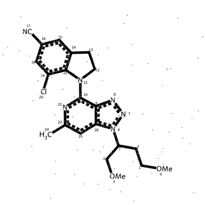 COCCC(COC)n1nnc2c(N3CCc4cc(C#N)cc(Cl)c43)nc(C)cc21